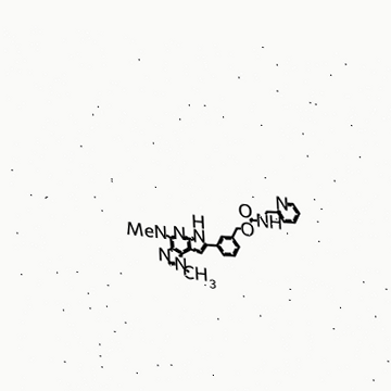 CNc1nc2[nH]c(-c3cccc(COC(=O)NCc4ccccn4)c3)cc2c2c1ncn2C